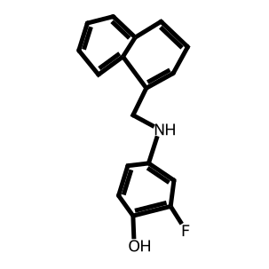 Oc1ccc(NCc2cccc3ccccc23)cc1F